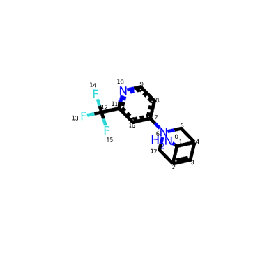 NC1C2=CC1CN(c1ccnc(C(F)(F)F)c1)C2